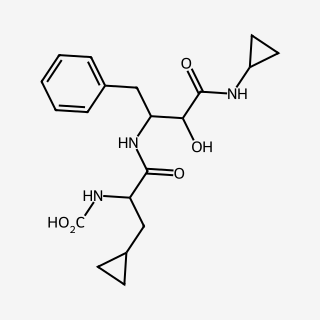 O=C(O)NC(CC1CC1)C(=O)NC(Cc1ccccc1)C(O)C(=O)NC1CC1